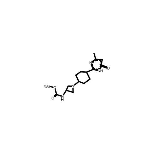 Cc1cc(=O)[nH]c(C2CCC(N3CC(NC(=O)OC(C)(C)C)C3)CC2)n1